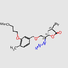 COCCCOc1cc(COC[C@H](N=[N+]=[N-])[C@@H]2C[C@@H](C(C)C)C(=O)O2)ccc1C